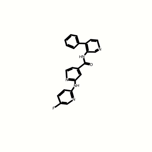 O=C(Nc1cnccc1-c1ccccc1)c1ccnc(Nc2ccc(F)cn2)c1